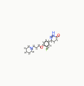 O=C1CCC(c2ccc(OCCCN3CCCCC3)c(F)c2)=NN1